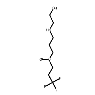 [O-][S+](CCCNCCO)CCC(F)(F)F